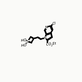 CCOC(=O)c1cc2cc(Cl)ncc2n1CCC1CS(O)(O)C1